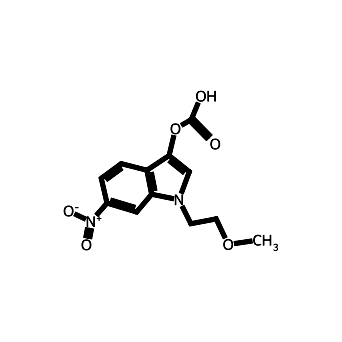 COCCn1cc(OC(=O)O)c2ccc([N+](=O)[O-])cc21